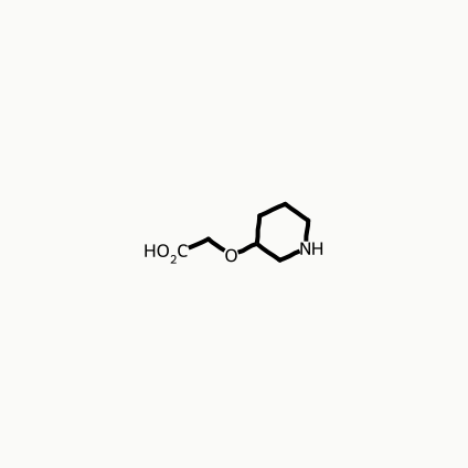 O=C(O)COC1CCCNC1